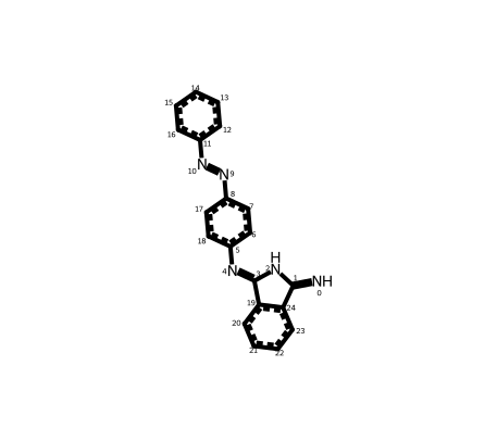 N=C1N/C(=N\c2ccc(/N=N/c3ccccc3)cc2)c2ccccc21